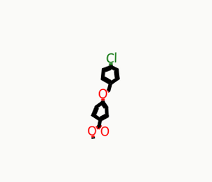 COC(=O)c1ccc(OCc2ccc(Cl)cc2)cc1